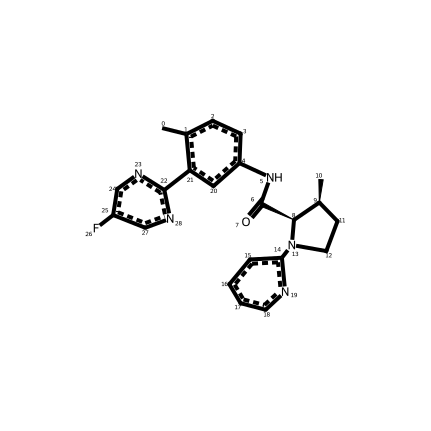 Cc1ccc(NC(=O)[C@H]2[C@@H](C)CCN2c2ccccn2)cc1-c1ncc(F)cn1